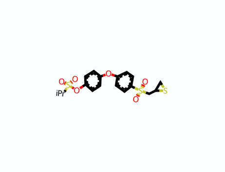 CC(C)S(=O)(=O)Oc1ccc(Oc2ccc(S(=O)(=O)CC3CS3)cc2)cc1